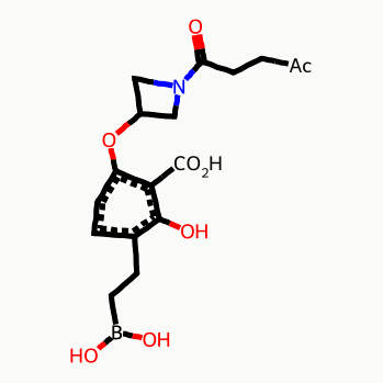 CC(=O)CCC(=O)N1CC(Oc2ccc(CCB(O)O)c(O)c2C(=O)O)C1